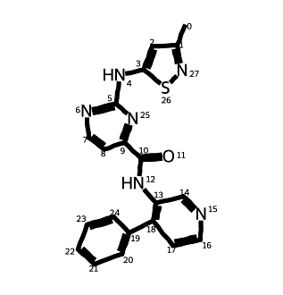 Cc1cc(Nc2nccc(C(=O)Nc3cnccc3-c3ccccc3)n2)sn1